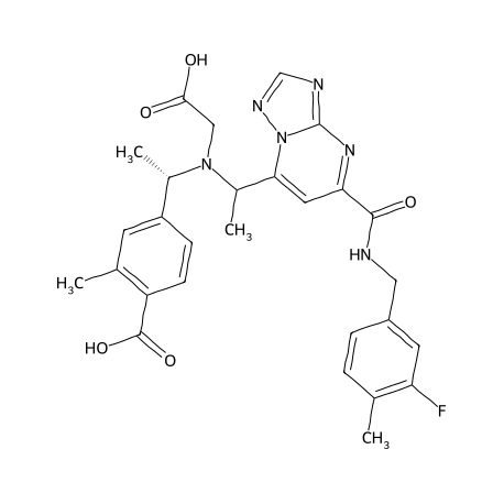 Cc1ccc(CNC(=O)c2cc(C(C)N(CC(=O)O)[C@@H](C)c3ccc(C(=O)O)c(C)c3)n3ncnc3n2)cc1F